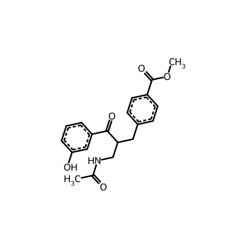 COC(=O)c1ccc(CC(CNC(C)=O)C(=O)c2cccc(O)c2)cc1